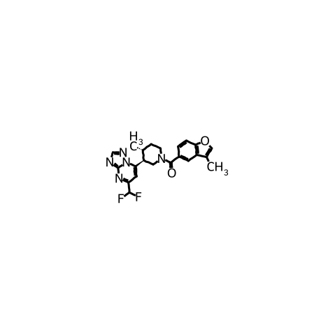 Cc1coc2ccc(C(=O)N3CC[C@@H](C)[C@H](c4cc(C(F)F)nc5ncnn45)C3)cc12